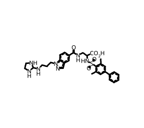 Cc1cc(-c2ccccc2)cc(C)c1S(=O)(=O)NC(CNC(=O)c1ccc2c(cnn2CCCNC2NCCN2)c1)C(=O)O